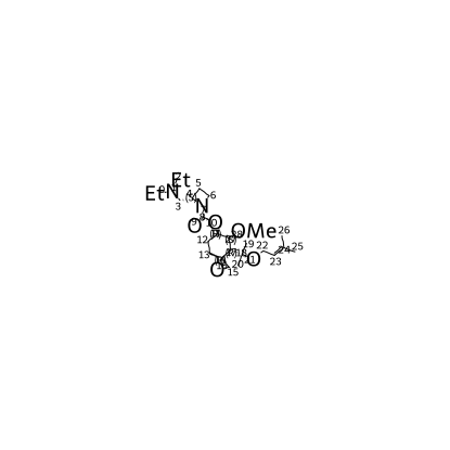 CCN(CC)C[C@@H]1CCN1C(=O)O[C@@H]1CC[C@]2(CO2)[C@@H](C(C)(C)OCC=C(C)C)[C@@H]1OC